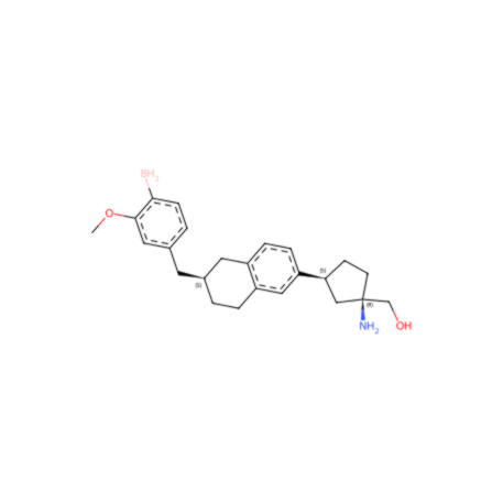 Bc1ccc(C[C@@H]2CCc3cc([C@H]4CC[C@](N)(CO)C4)ccc3C2)cc1OC